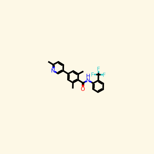 Cc1ccc(-c2cc(C)c(C(=O)Nc3ccccc3C(F)(F)F)c(C)c2)cn1